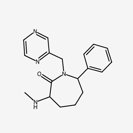 CNC1CCCC(c2ccccc2)N(Cc2cnccn2)C1=O